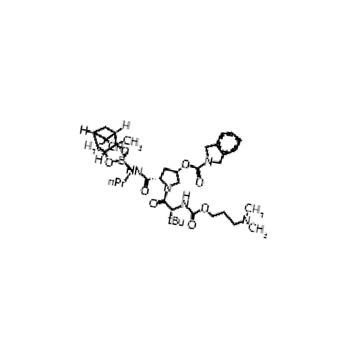 CCC[C@H](NC(=O)[C@@H]1C[C@@H](OC(=O)N2Cc3ccccc3C2)CN1C(=O)[C@@H](NC(=O)OCCCN(C)C)C(C)(C)C)B1O[C@@H]2C[C@@H]3C[C@@H](C3(C)C)[C@]2(C)O1